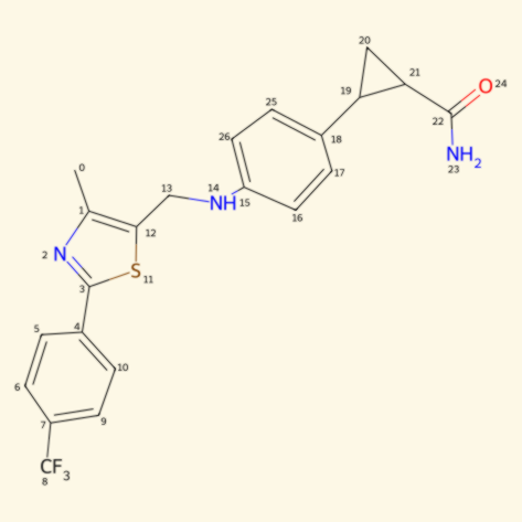 Cc1nc(-c2ccc(C(F)(F)F)cc2)sc1CNc1ccc(C2CC2C(N)=O)cc1